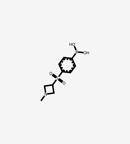 CN1CC(S(=O)(=O)c2ccc(B(O)O)cc2)C1